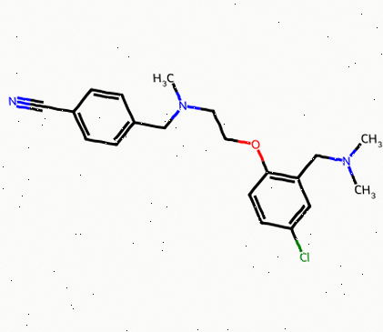 CN(C)Cc1cc(Cl)ccc1OCCN(C)Cc1ccc(C#N)cc1